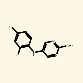 CSc1ncc(Nc2ccc(Cl)cc2Cl)cn1